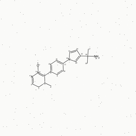 CC1CC=N[N+]([O-])=C1c1ccc(-n2ccc(C(C)(C)N)c2)cc1